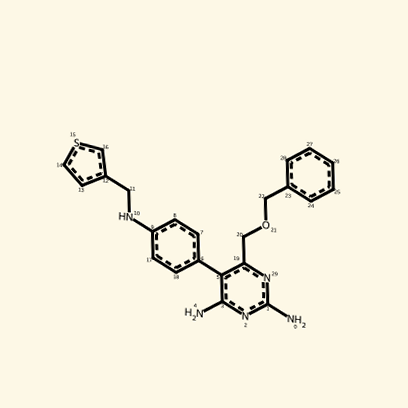 Nc1nc(N)c(-c2ccc(NCc3ccsc3)cc2)c(COCc2ccccc2)n1